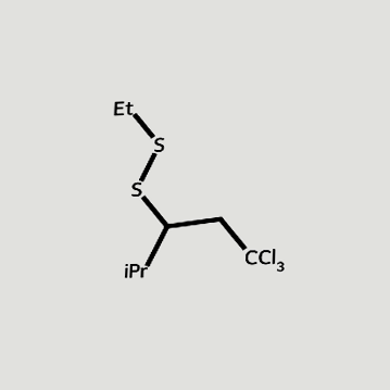 CCSSC(CC(Cl)(Cl)Cl)C(C)C